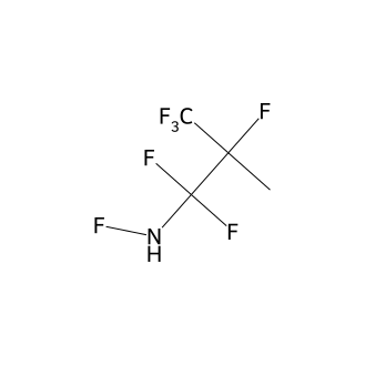 CC(F)(C(F)(F)F)C(F)(F)NF